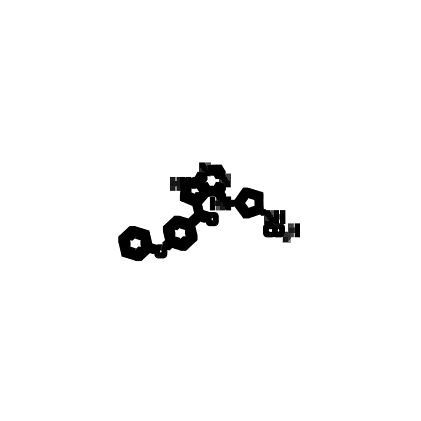 O=C(O)N[C@H]1CC[C@H](Nc2ncnc3[nH]cc(C(=O)c4ccc(Oc5ccccc5)cc4)c23)C1